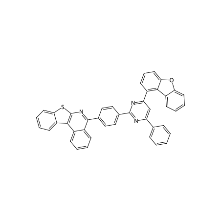 c1ccc(-c2cc(-c3cccc4oc5ccccc5c34)nc(-c3ccc(-c4nc5sc6ccccc6c5c5ccccc45)cc3)n2)cc1